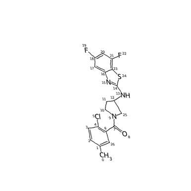 Cc1ccc(Cl)c(C(=O)N2CCC(Nc3nc4cc(F)cc(F)c4s3)C2)c1